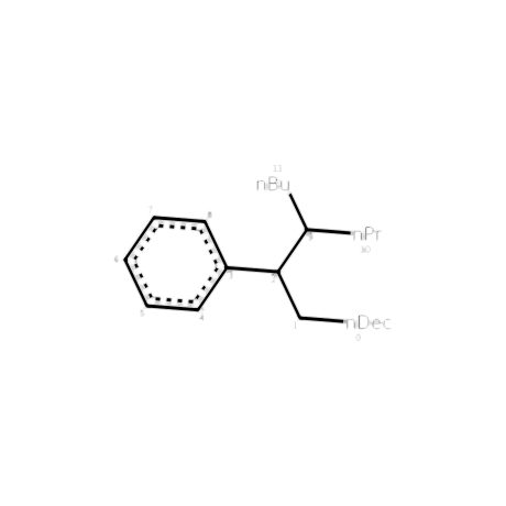 CCCCCCCCCCCC(c1[c]cccc1)C(CCC)CCCC